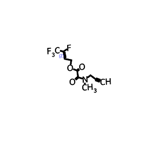 C#CCN(C)C(=O)C(=O)OC/C=C(\F)C(F)(F)F